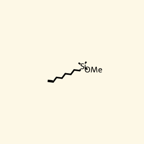 C=CCCCCCC[Si](C)(C)OC